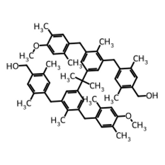 COc1cc(C)c(Cc2cc(C(C)(C)c3cc(Cc4cc(C)c(CO)cc4C)c(C)c(Cc4cc(C)c(OC)cc4C)c3)cc(Cc3cc(C)c(CO)cc3C)c2C)cc1C